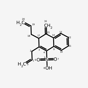 C=CCC1=C(S(=O)(=O)O)c2ccccc2C(=C)C1CC=C